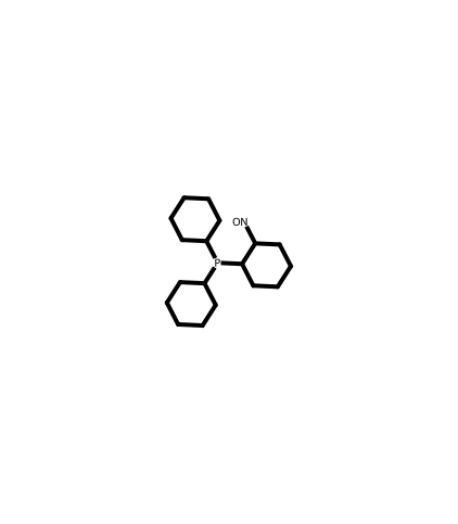 O=NC1CCCCC1P(C1CCCCC1)C1CCCCC1